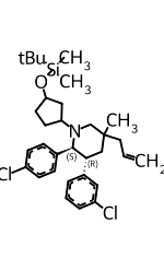 C=CCC1(C)C[C@H](c2cccc(Cl)c2)[C@@H](c2ccc(Cl)cc2)N(C2CCC(O[Si](C)(C)C(C)(C)C)C2)C1